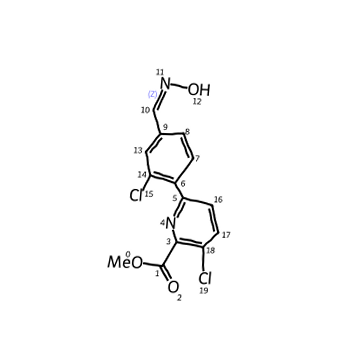 COC(=O)c1nc(-c2ccc(/C=N\O)cc2Cl)ccc1Cl